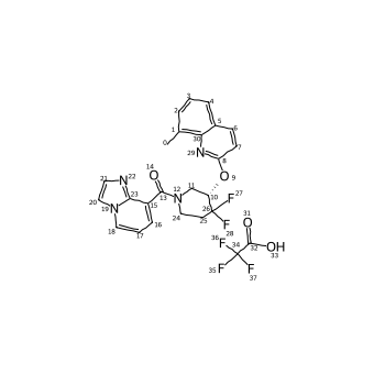 Cc1cccc2ccc(O[C@H]3CN(C(=O)c4cccn5ccnc45)CCC3(F)F)nc12.O=C(O)C(F)(F)F